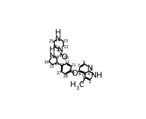 Cc1c[nH]c2nccc(Oc3ccc([C@H]4CCN[C@@H]4C(=O)N4CCNCC4)cc3)c12